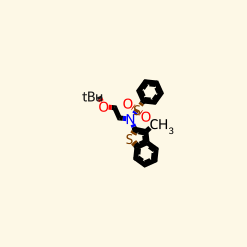 Cc1c(N(CCOC(C)(C)C)S(=O)(=O)c2ccccc2)sc2ccccc12